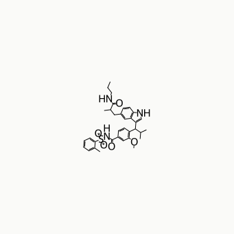 CCCNC(=O)C(C)Cc1ccc2[nH]cc(C(c3ccc(C(=O)NS(=O)(=O)c4ccccc4C)cc3OC)C(C)C)c2c1